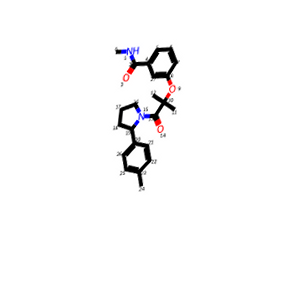 CNC(=O)c1cccc(OC(C)(C)C(=O)N2CCCC2c2ccc(C)cc2)c1